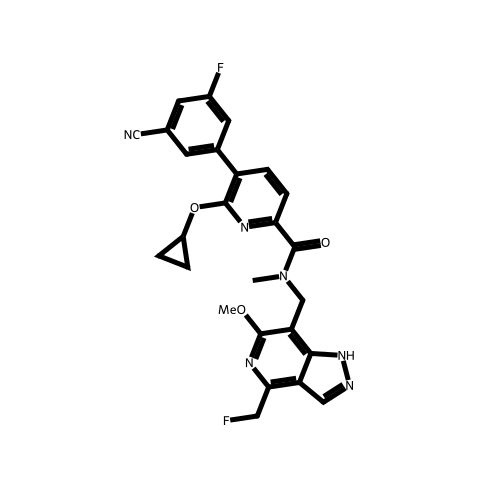 COc1nc(CF)c2cn[nH]c2c1CN(C)C(=O)c1ccc(-c2cc(F)cc(C#N)c2)c(OC2CC2)n1